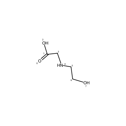 O=C(O)CNCCO